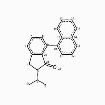 CC(C)C1Cc2cccc(-c3cccc4ccccc34)c2C1=O